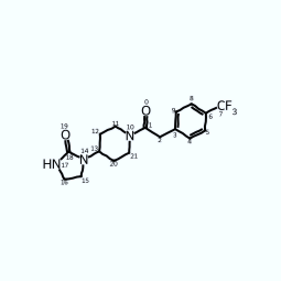 O=C(Cc1ccc(C(F)(F)F)cc1)N1CCC(N2CCNC2=O)CC1